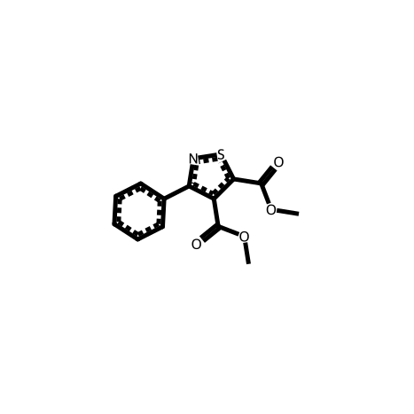 COC(=O)c1snc(-c2ccccc2)c1C(=O)OC